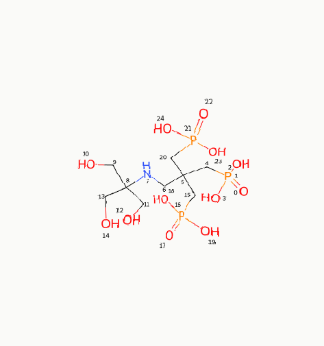 O=P(O)(O)CC(CNC(CO)(CO)CO)(CP(=O)(O)O)CP(=O)(O)O